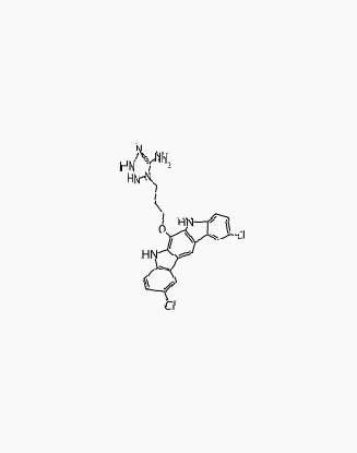 NC1=NNNN1CCCOc1c2[nH]c3ccc(Cl)cc3c2cc2c1[nH]c1ccc(Cl)cc12